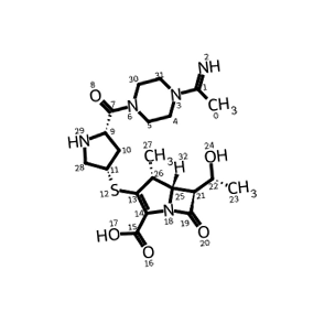 CC(=N)N1CCN(C(=O)[C@@H]2C[C@H](SC3=C(C(=O)O)N4C(=O)[C@H]([C@@H](C)O)[C@H]4[C@H]3C)CN2)CC1